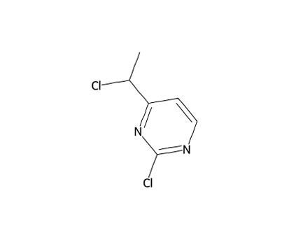 CC(Cl)c1ccnc(Cl)n1